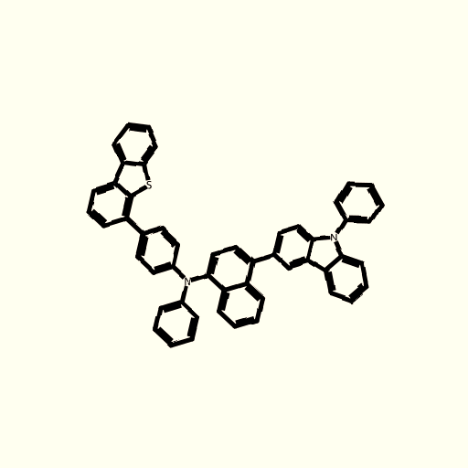 c1ccc(N(c2ccc(-c3cccc4c3sc3ccccc34)cc2)c2ccc(-c3ccc4c(c3)c3ccccc3n4-c3ccccc3)c3ccccc23)cc1